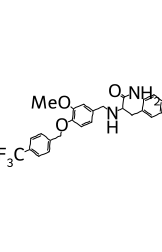 COc1cc(CNC(Cc2ccccc2)C(N)=O)ccc1OCc1ccc(C(F)(F)F)cc1